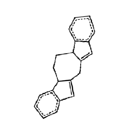 C1=C2CC3=Cc4ccccc4C3CCC2c2ccccc21